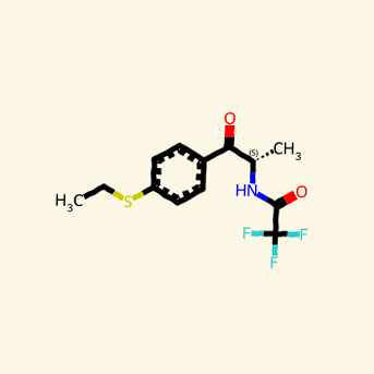 CCSc1ccc(C(=O)[C@H](C)NC(=O)C(F)(F)F)cc1